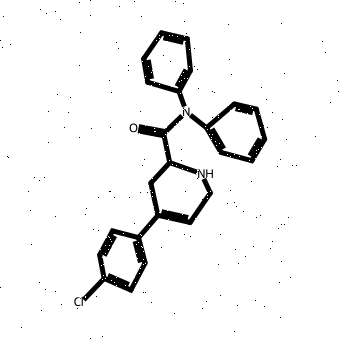 O=C(C1CC(c2ccc(Cl)cc2)=CCN1)N(c1ccccc1)c1ccccc1